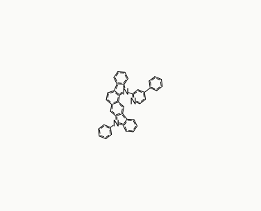 c1ccc(-c2ccnc(-n3c4ccccc4c4ccc5cc6c(cc5c43)c3ccccc3n6-c3ccccc3)c2)cc1